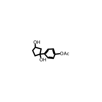 CC(=O)Oc1ccc(C2(O)CCC(O)C2)cc1